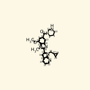 COc1cc(C(=O)N2CCCNC2)cc2nc(-c3cc4cccnc4n3CC3CC3)n(C)c12